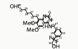 COc1cc2c(NC(C)c3cccc(C(F)(F)CO)c3)nc(C)nc2c(CCCCCCC=O)c1OC